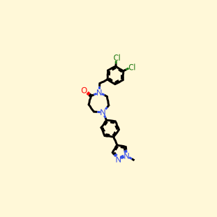 Cn1cc(-c2ccc(N3CCC(=O)N(Cc4ccc(Cl)c(Cl)c4)CC3)cc2)cn1